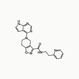 O=C(NCCc1ccccn1)c1noc2c1CN(c1ncnc3[nH]ccc13)CC2